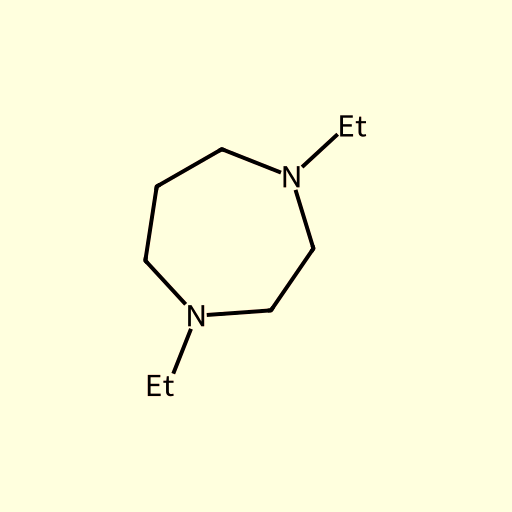 CCN1CCCN(CC)CC1